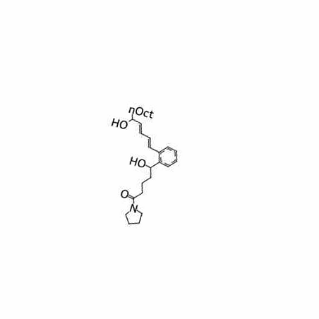 CCCCCCCCC(O)C=CC=Cc1ccccc1C(O)CCCC(=O)N1CCCC1